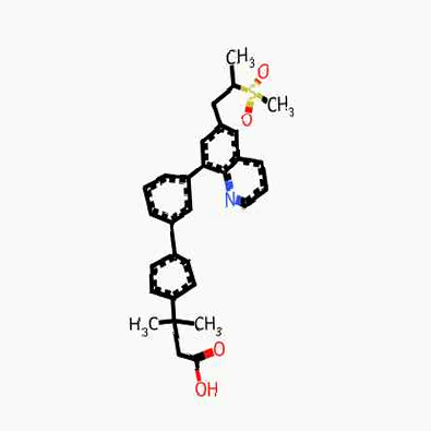 CC(Cc1cc(-c2cccc(-c3ccc(C(C)(C)CC(=O)O)cc3)c2)c2ncccc2c1)S(C)(=O)=O